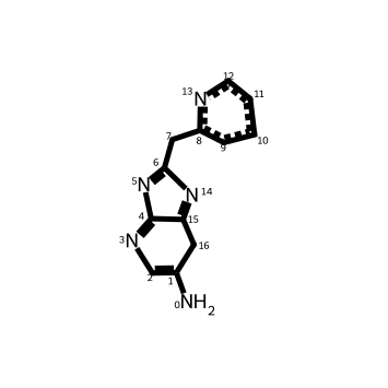 NC1=CN=C2N=C(Cc3ccccn3)N=C2C1